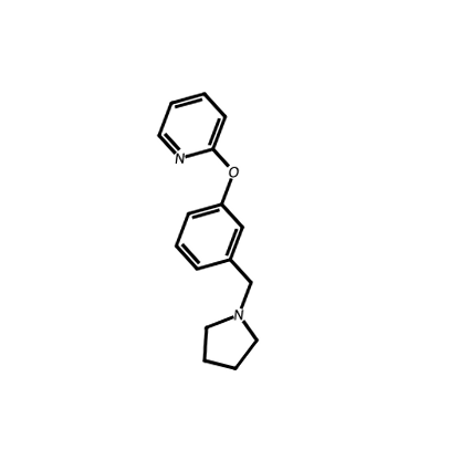 c1ccc(Oc2cccc(CN3CCCC3)c2)nc1